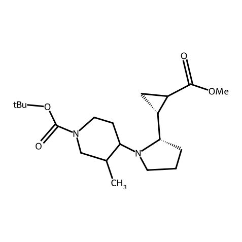 COC(=O)C1C[C@H]1[C@@H]1CCCN1C1CCN(C(=O)OC(C)(C)C)CC1C